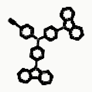 C#Cc1ccc(N(c2ccc(-n3c4ccccc4c4ccccc43)cc2)c2ccc(-n3c4ccccc4c4ccccc43)cc2)cc1